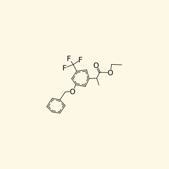 CCOC(=O)C(C)c1cc(OCc2ccccc2)cc(C(F)(F)F)c1